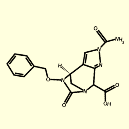 NC(=O)n1cc2c(n1)C(C(=O)O)N1C[C@H]2N(OCc2ccccc2)C1=O